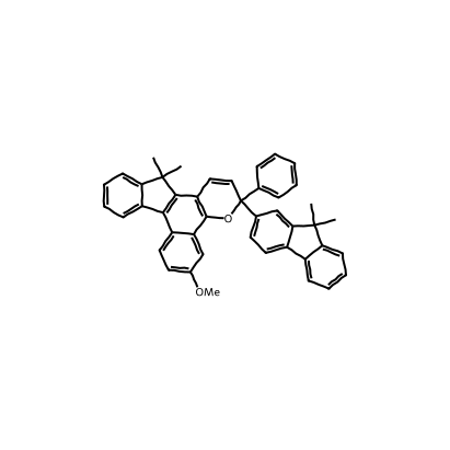 COc1ccc2c3c(c4c(c2c1)OC(c1ccccc1)(c1ccc2c(c1)C(C)(C)c1ccccc1-2)C=C4)C(C)(C)c1ccccc1-3